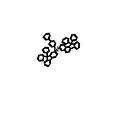 c1ccc(-c2ccc(N(c3ccc4c(c3)C(c3ccccc3)(c3ccccc3)c3ccccc3-4)c3ccc4c5c(ccc4c3)-c3ccccc3C5(c3ccccc3)c3ccccc3)cc2)cc1